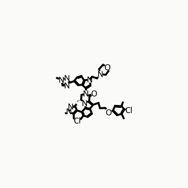 Cc1cc(OCCCc2c3n(c4c(-c5c(C)nn(C)c5C)c(Cl)ccc24)[C@H](C)CN(c2cn(CCN4CCOCC4)c4ccc(-c5ncn(C)n5)cc24)C3=O)cc(C)c1Cl